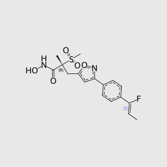 C/C=C(\F)c1ccc(-c2cc(C[C@](C)(C(=O)NO)S(C)(=O)=O)on2)cc1